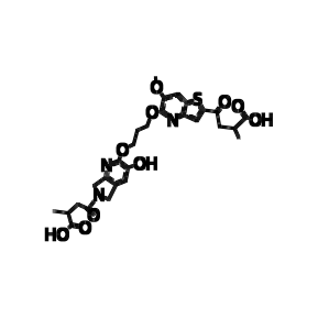 COc1cc2sc(C(=O)CC(C)C(=O)O)cc2nc1OCCCOc1nc2c(cc1O)CN(C(=O)CC(C)C(=O)O)C2